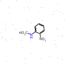 O=C(O)Nc1ccccc1[N+](=O)[O-]